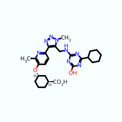 Cc1nc(-c2nnn(C)c2CNc2nc(O)nc(C3CCCCC3)n2)ccc1O[C@H]1CCC[C@H](C(=O)O)C1